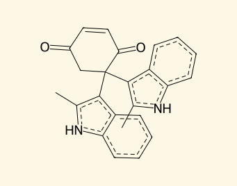 Cc1[nH]c2ccccc2c1C1(c2c(C)[nH]c3ccccc23)CC(=O)C=CC1=O